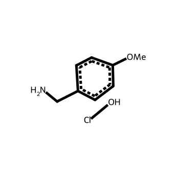 COc1ccc(CN)cc1.OCl